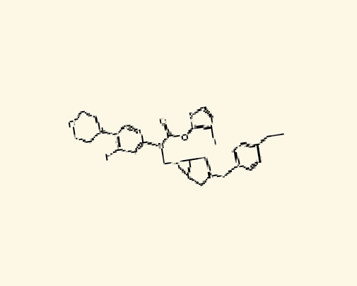 CCc1ccc(CN2CC3C(C2)C3CN(C(=O)Oc2sccc2C)c2ccc(N3CCOCC3)c(F)c2)cc1